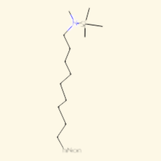 CCCCCCCCCCCCCCCCCCN(C)[Si](C)(C)C